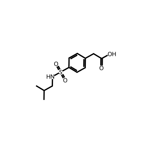 CC(C)CNS(=O)(=O)c1ccc(CC(=O)O)cc1